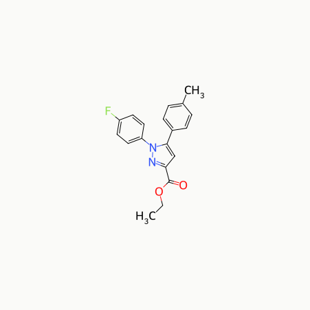 CCOC(=O)c1cc(-c2ccc(C)cc2)n(-c2ccc(F)cc2)n1